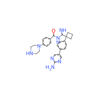 N=C(NC(=O)c1ccc(N2CCNCC2)cc1)C1(c2ccc(-c3cnc(N)nc3)cc2)CCC1